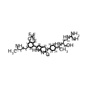 C[C@H](N)CCCc1cc(OC(F)(F)F)c(F)c(-c2cc3cn(-c4ccc([C@H](C)N[C@H](CO)CCNC(=N)N)cc4)c(=O)nc3[nH]2)c1